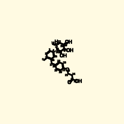 Cc1ccc([C@H]2[C@H](O)[C@H](O)[C@H](O)C[SH]2C)cc1Cc1ccc(OCCC(=O)O)cc1